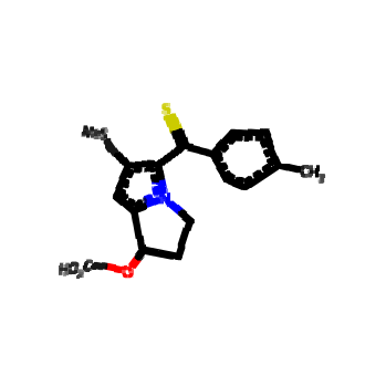 CSc1cc2n(c1C(=S)c1ccc(C)cc1)CCC2OC(=O)O